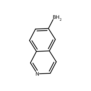 Bc1ccc2cnccc2c1